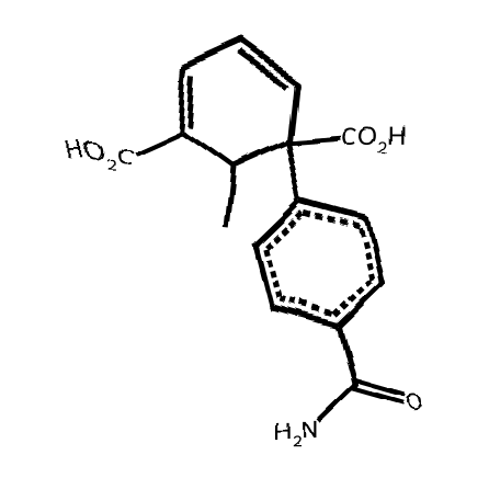 CC1C(C(=O)O)=CC=CC1(C(=O)O)c1ccc(C(N)=O)cc1